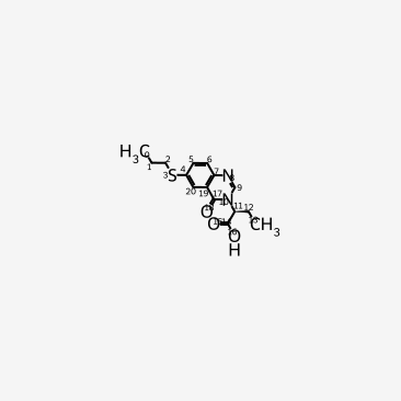 CCCSc1ccc2ncn([C@@H](CC)C(=O)O)c(=O)c2c1